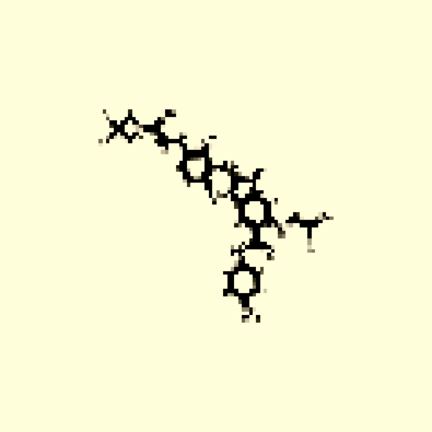 Cn1c(Nc2c(Cl)ccc(CNC(=O)N3CC(F)(F)C3)c2Cl)nc2cc(C(=O)NC3CCC(C(F)(F)F)CC3)c(OCC(F)F)cc21